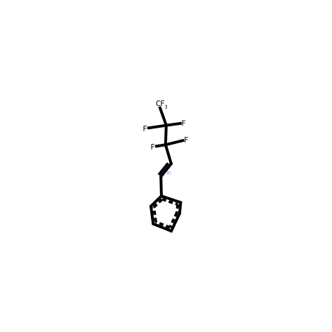 FC(F)(F)C(F)(F)C(F)(F)/C=C/c1ccccc1